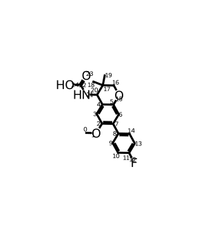 COc1cc2c(cc1-c1ccc(F)cc1)OCC(C)(C)C2NC(=O)O